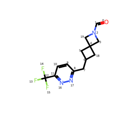 O=CN1CC2(CC(Cc3ccc(C(F)(F)F)nn3)C2)C1